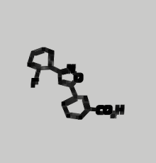 O=C(O)c1cccc(-c2cc(-c3ccccc3F)no2)c1